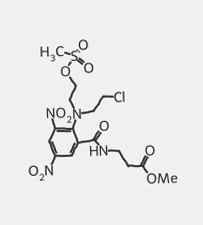 COC(=O)CCNC(=O)c1cc([N+](=O)[O-])cc([N+](=O)[O-])c1N(CCCl)CCOS(C)(=O)=O